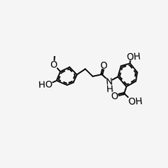 COc1cc(CCC(=O)Nc2cc(O)ccc2C(=O)O)ccc1O